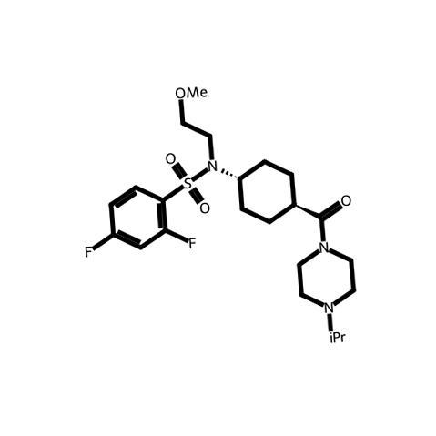 COCCN([C@H]1CC[C@H](C(=O)N2CCN(C(C)C)CC2)CC1)S(=O)(=O)c1ccc(F)cc1F